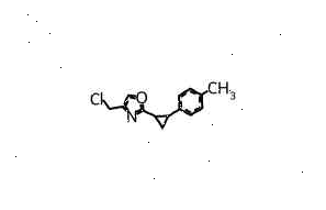 Cc1ccc(C2CC2c2nc(CCl)co2)cc1